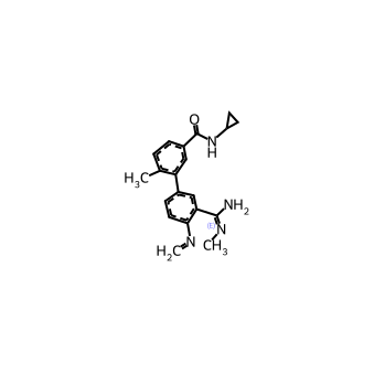 C=Nc1ccc(-c2cc(C(=O)NC3CC3)ccc2C)cc1/C(N)=N\C